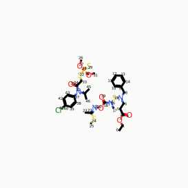 CCOC(=O)CCN(Cc1ccccc1)SN(C)C(=O)O/N=C(/C)SC.COP(=S)(OC)SCC(=O)N(c1ccc(Cl)cc1)C(C)C